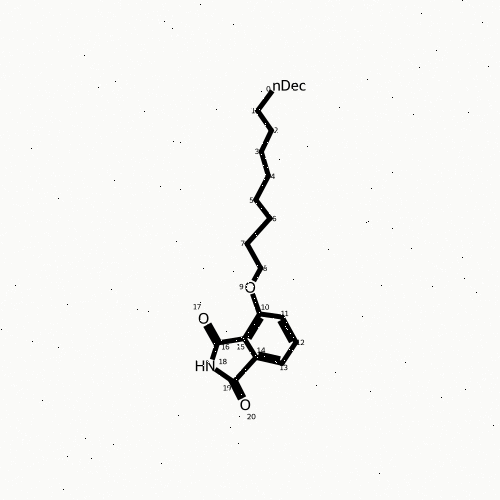 CCCCCCCCCCCCCCCCCCOc1cccc2c1C(=O)NC2=O